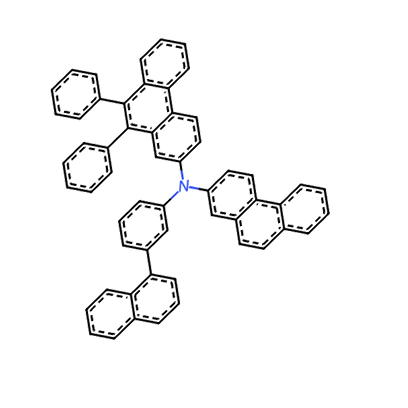 c1ccc(-c2c(-c3ccccc3)c3cc(N(c4cccc(-c5cccc6ccccc56)c4)c4ccc5c(ccc6ccccc65)c4)ccc3c3ccccc23)cc1